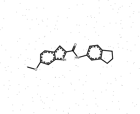 COc1ccc2cc(C(=O)Nc3ccc4c(c3)CCC4)[nH]c2c1